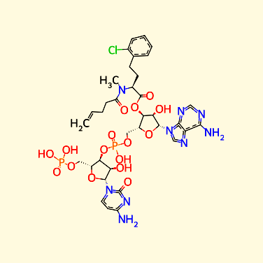 C=CCCC(=O)N(C)[C@@H](CCc1ccccc1Cl)C(=O)O[C@H]1[C@@H](O)[C@H](n2cnc3c(N)ncnc32)O[C@@H]1COP(=O)(O)O[C@H]1[C@@H](O)[C@H](n2ccc(N)nc2=O)O[C@@H]1COP(=O)(O)O